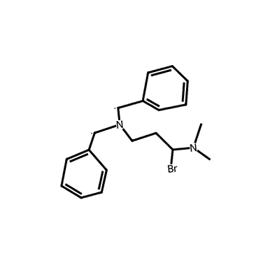 CN(C)C(Br)CCN([CH]c1ccccc1)[CH]c1ccccc1